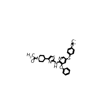 [C-]#[N+]c1ccc(Sc2cnc(Nc3nc(C4CCN(C(C)=O)CC4)cs3)c(Oc3ccccc3)c2)cc1